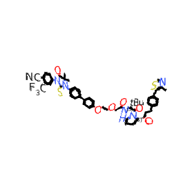 Cc1ncsc1-c1ccc(CCC(=O)[C@@H]2CCCN2C(=O)[C@@H](NC(=O)COCCOc2ccc(-c3ccc(N4C(=S)N(c5ccc(C#N)c(C(F)(F)F)c5)C(=O)C4(C)C)cc3)cc2)C(C)(C)C)cc1